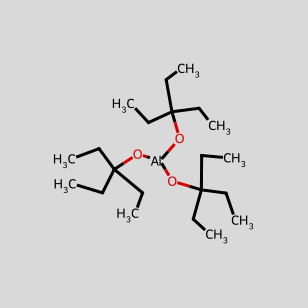 CCC(CC)(CC)[O][Al]([O]C(CC)(CC)CC)[O]C(CC)(CC)CC